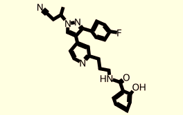 CC(CC#N)n1cc(-c2ccnc(CCCNC(=O)c3ccccc3O)c2)c(-c2ccc(F)cc2)n1